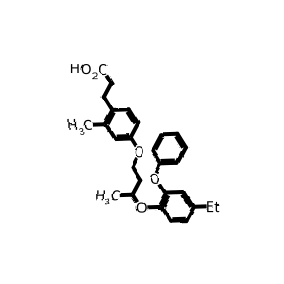 CCc1ccc(OC(C)CCOc2ccc(CCC(=O)O)c(C)c2)c(Oc2ccccc2)c1